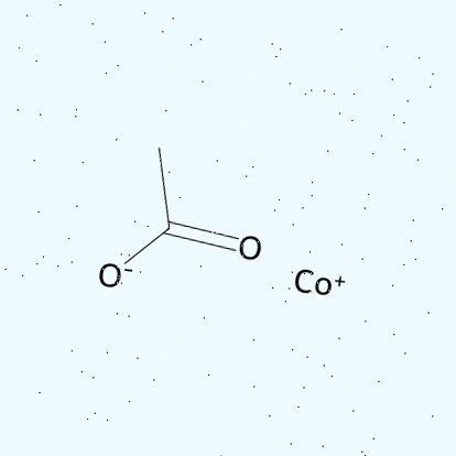 CC(=O)[O-].[Co+]